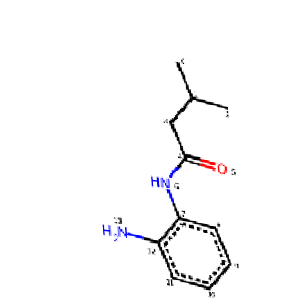 CC(C)CC(=O)Nc1ccccc1N